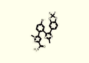 Cc1nc(-c2ccc3c(c2)OC(F)(F)O3)c(-c2cc(Br)ccc2-c2cc(C(N)=O)nn2C)o1